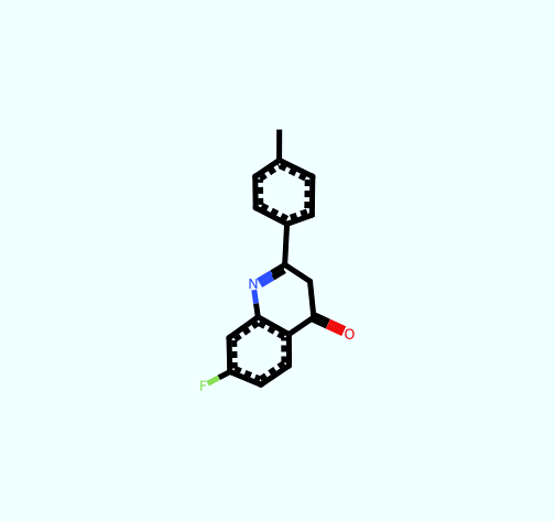 Cc1ccc(C2=Nc3cc(F)ccc3C(=O)C2)cc1